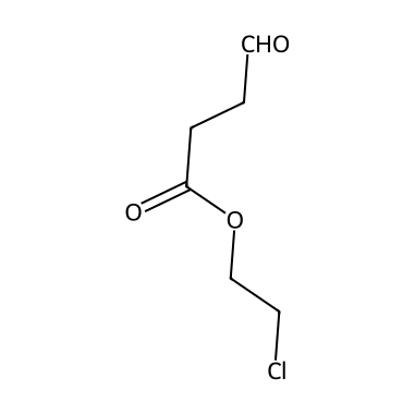 O=CCCC(=O)OCCCl